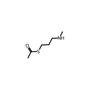 CNCCCSC(C)=O